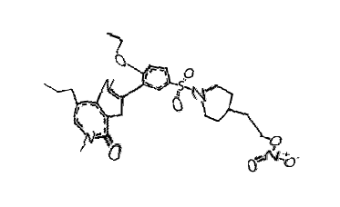 CCCc1cn(C)c(=O)c2c1N=C(c1cc(S(=O)(=O)N3CCC(CCO[N+](=O)[O-])CC3)ccc1OCC)C2